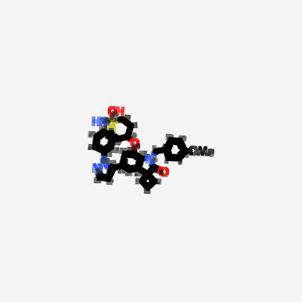 COc1ccc(CN2C(=O)C3(CCC3)c3cc(-c4ccnn4-c4ccccc4)cc(OC4CC[SH](=N)(O)CC4)c32)cc1